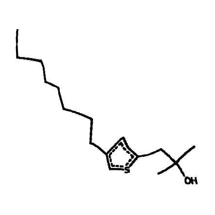 CCCCCCCCc1csc(CC(C)(C)O)c1